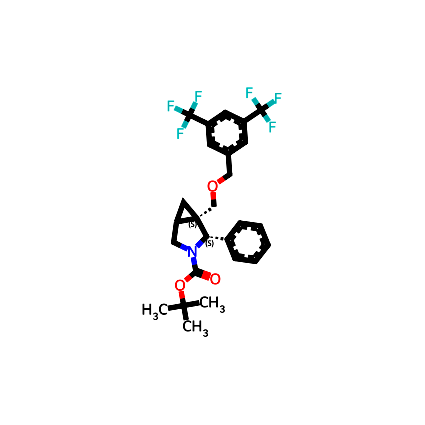 CC(C)(C)OC(=O)N1CC2C[C@@]2(COCc2cc(C(F)(F)F)cc(C(F)(F)F)c2)[C@@H]1c1ccccc1